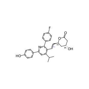 CC(C)c1cc(-c2ccc(O)cc2)nc(-c2ccc(F)cc2)c1/C=C/[C@@H]1C[C@@H](O)CC(=O)O1